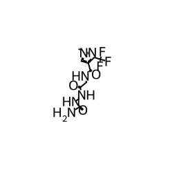 Cn1cc(C(=O)NCC(=O)NNC(N)=O)c(C(F)(F)F)n1